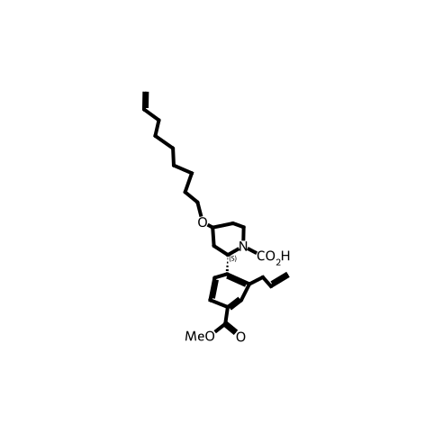 C=CCCCCCCCOC1CCN(C(=O)O)[C@H](c2ccc(C(=O)OC)cc2CC=C)C1